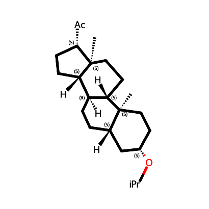 CC(=O)[C@H]1CC[C@H]2[C@@H]3CC[C@H]4C[C@@H](OC(C)C)CC[C@]4(C)[C@H]3CC[C@]12C